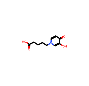 O=C(O)CCCCn1ccc(=O)c(O)c1